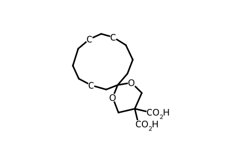 O=C(O)C1(C(=O)O)COC2(CCCCCCCCCCC2)OC1